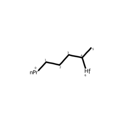 CCCCCC[CH](C)[Hf]